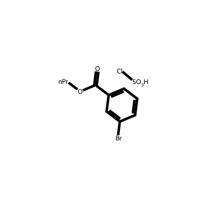 CCCOC(=O)c1cccc(Br)c1.O=S(=O)(O)Cl